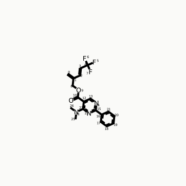 C=C(/C=C/C(F)(F)F)COC(=O)c1cnc(-c2ccccc2)nc1N(C)C